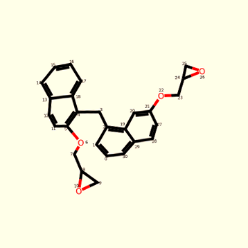 c1cc(Cc2c(OCC3CO3)ccc3ccccc23)c2cc(OCC3CO3)ccc2c1